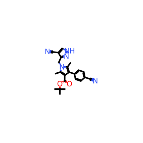 Cc1c(C(=O)OC(C)(C)C)c(-c2ccc(C#N)cc2)c(C)n1Cc1n[nH]cc1C#N